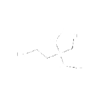 C[CH]C[Si](CC)(OC)OC